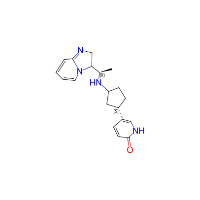 C[C@@H](NC1CC[C@H](c2ccc(=O)[nH]c2)C1)C1CN=C2C=CC=CN21